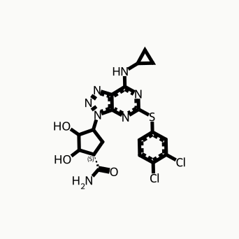 NC(=O)[C@H]1CC(n2nnc3c(NC4CC4)nc(Sc4ccc(Cl)c(Cl)c4)nc32)C(O)C1O